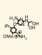 COc1cc(C(C)C)c(Oc2cnc(NC(CO)CO)nc2N)cc1S(N)(=O)=O